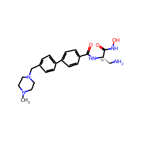 CN1CCN(Cc2ccc(-c3ccc(C(=O)N[C@@H](CN)C(=O)NO)cc3)cc2)CC1